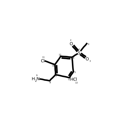 CS(=O)(=O)c1ccc(CN)c(Cl)c1.Cl